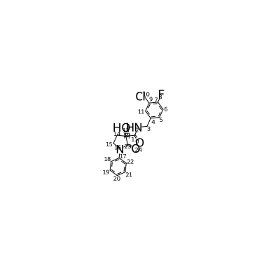 O=C(NCc1ccc(F)c(Cl)c1)[C@]1(O)CCN(c2ccccc2)C1=O